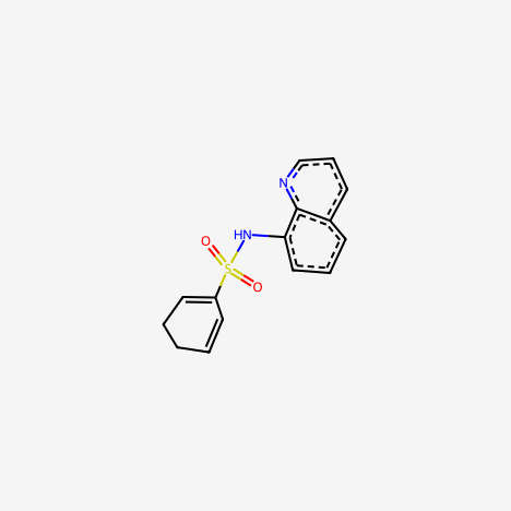 O=S(=O)(Nc1cccc2cccnc12)C1=CCCC=C1